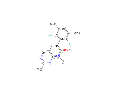 COc1cc(OC)c(F)c(-c2cc3cnc(SC)nc3n(C)c2=O)c1F